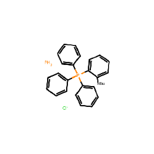 CCCCc1ccccc1[P+](c1ccccc1)(c1ccccc1)c1ccccc1.P.[Cl-]